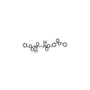 O=C(CCCNC(=O)OCc1ccc(C(=O)OCc2ccccc2)cc1)NCC(=O)OCc1ccccc1